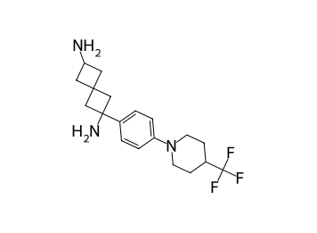 NC1CC2(C1)CC(N)(c1ccc(N3CCC(C(F)(F)F)CC3)cc1)C2